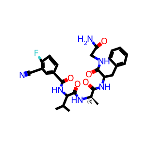 CC(C)C(NC(=O)c1ccc(F)c(C#N)c1)C(=O)N[C@H](C)C(=O)NC(Cc1ccccc1)C(=O)NCC(N)=O